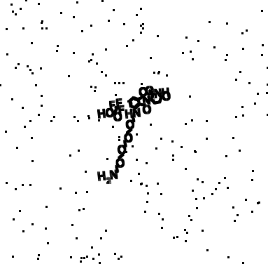 NCCOCCOCCOCCOCCNc1cccc2c1C(=O)N([C@H]1CCC(=O)NC1=O)C2=O.O=C(O)C(F)(F)F